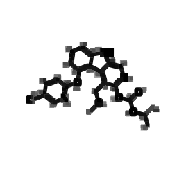 COCc1c(OC(=O)OC(C)C)ncc2[nH]c3cccc(Oc4ccc(Cl)cn4)c3c12